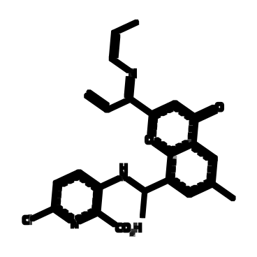 C=C/C(=N\C=C/C)c1cc(=O)c2cc(C)cc(C(C)Nc3ccc(Cl)nc3C(=O)O)c2o1